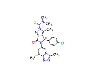 Cc1cc(N2C(=O)c3nn(C(=O)N(C)C)c(C)c3[C@H]2c2ccc(Cl)cc2)cn2c(C)nnc12